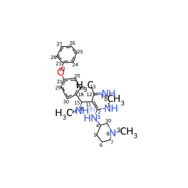 CN/C(NC1CCCN(C)C1)=C(\C(C)=N)C(NC)c1ccc(Oc2ccccc2)cc1